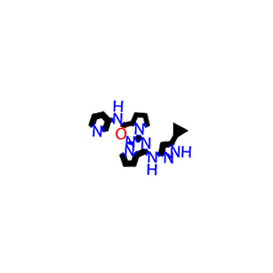 O=C(Nc1cccnc1)C1CCCN1c1nc(Nc2cc(C3CC3)[nH]n2)c2cccn2n1